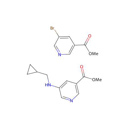 COC(=O)c1cncc(Br)c1.COC(=O)c1cncc(NCC2CC2)c1